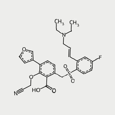 CCN(CC)CC=Cc1cc(F)ccc1S(=O)(=O)Cc1ccc(-c2ccoc2)c(OCC#N)c1C(=O)O